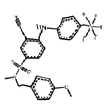 COc1ccc(CN(C)S(=O)(=O)c2ccc(Nc3ccc(S(F)(F)(F)(F)F)cc3)c(C#N)c2)cc1